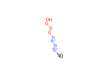 O=N/N=N/N=N/OOOO